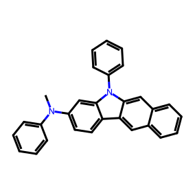 CN(c1ccccc1)c1ccc2c3cc4ccccc4cc3n(-c3ccccc3)c2c1